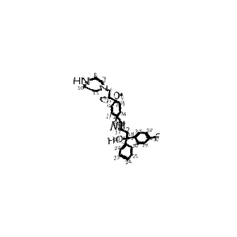 COC1(C(=O)CN2CCNCC2)C=CC(N)(CCCC(O)(c2ccccc2)c2ccc(F)cc2)C=C1